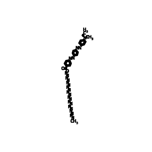 CCN(C)c1ccc(N=Nc2ccc(N=Nc3ccc(C(=O)ON=NN=NN=NN=NN=NN=NN=NN=NN=NN=NC)cc3)cc2)cc1